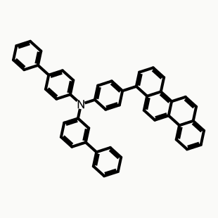 c1ccc(-c2ccc(N(c3ccc(-c4cccc5c4ccc4c6ccccc6ccc54)cc3)c3cccc(-c4ccccc4)c3)cc2)cc1